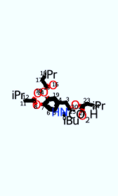 CCC(C)N[C@@](Cc1ccc(OC(=O)CC(C)C)c(OC(=O)CC(C)C)c1)(OC(=O)CC(C)C)C(=O)O